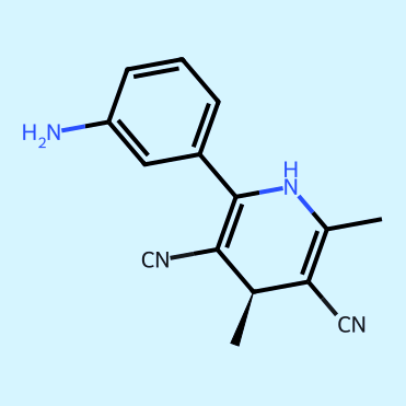 [C-]#[N+]C1=C(c2cccc(N)c2)NC(C)=C(C#N)[C@H]1C